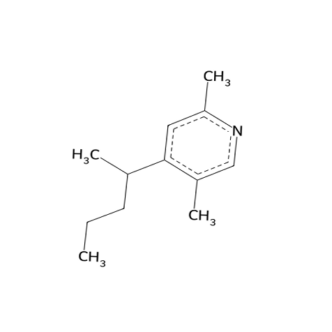 CCCC(C)c1cc(C)ncc1C